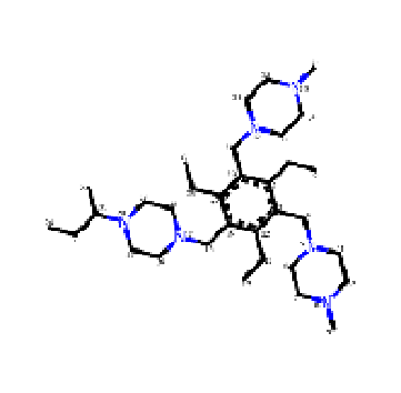 CCc1c(CN2CCN(C)CC2)c(CC)c(CN2CCN(C(C)CC)CC2)c(CC)c1CN1CCN(C)CC1